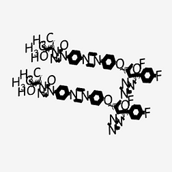 CC[C@@H]([C@H](C)O)n1ncn(-c2ccc(N3CCN(c4ccc(OC[C@@H]5CO[C@@](Cn6cncn6)(c6ccc(F)cc6F)C5)cc4)CC3)cc2)c1=O.CC[C@@H]([C@H](C)O)n1ncn(-c2ccc(N3CCN(c4ccc(OC[C@@H]5CO[C@@](Cn6cncn6)(c6ccc(F)cc6F)C5)cc4)CC3)cc2)c1=O